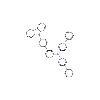 C1=CC2C3C=CC=CC3N(c3ccc(-c4cccc(N(c5ccc(-c6ccccc6)cc5)c5ccc(-c6ccccc6)cc5)c4)cc3)C2C=C1